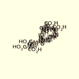 O=C(O)CCC(NC(=O)NC(CCCCNC(=O)C(Cc1ccc2ccccc2c1)NC(=O)c1ccc(CNC(=O)C(CCC(=O)O)NC(=O)CCC(NC(=O)c2ccc([18F])nc2)C(=O)O)cc1)C(=O)O)C(=O)O